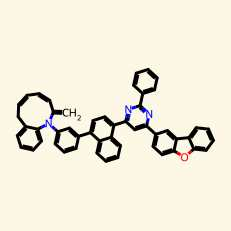 C=C1/C=C\C=C/Cc2ccccc2N1c1cccc(-c2ccc(-c3cc(-c4ccc5oc6ccccc6c5c4)nc(-c4ccccc4)n3)c3ccccc23)c1